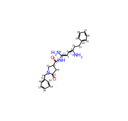 N/C(=C\C=C(/N)NC(=O)C1CC(=O)N(Cc2ccccc2)C1)CCc1ccccc1